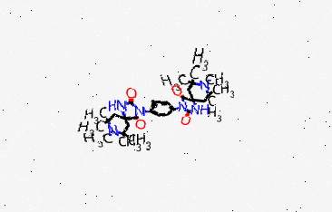 CN1C(C)(C)CC2(CC1(C)C)NC(=O)N(c1ccc(N3C(=O)NC4(CC(C)(C)N(C)C(C)(C)C4)C3=O)cc1)C2=O